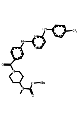 CN(C(=O)OC(C)(C)C)C1CCN(C(=O)c2ccc(Nc3nccc(Nc4ccc(C(F)(F)F)cc4)n3)cc2)CC1